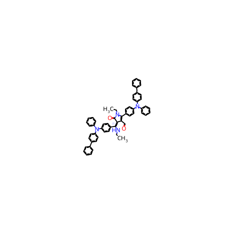 CCN/C(=C1/C(=O)N(CC)C(c2ccc(N(c3ccccc3)c3ccc(-c4ccccc4)cc3)cc2)=C1C=O)c1ccc(N(c2ccccc2)c2ccc(-c3ccccc3)cc2)cc1